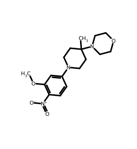 COc1cc(N2CCC(C)(N3CCOCC3)CC2)ccc1[N+](=O)[O-]